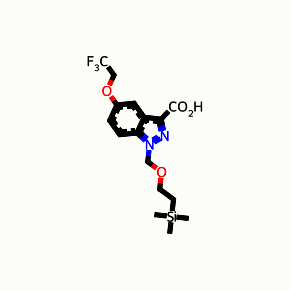 C[Si](C)(C)CCOCn1nc(C(=O)O)c2cc(OCC(F)(F)F)ccc21